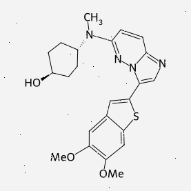 COc1cc2cc(-c3cnc4ccc(N(C)[C@H]5CC[C@H](O)CC5)nn34)sc2cc1OC